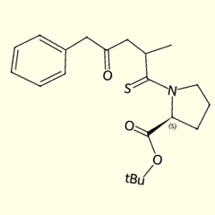 CC(CC(=O)Cc1ccccc1)C(=S)N1CCC[C@H]1C(=O)OC(C)(C)C